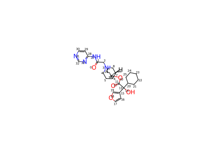 O=C(C[N+]12CCC(CC1)[C@@H](OC(=O)C(O)(c1ccoc1)C1CCCCC1)C2)Nc1ccncn1